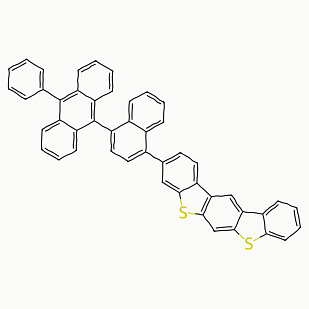 c1ccc(-c2c3ccccc3c(-c3ccc(-c4ccc5c(c4)sc4cc6sc7ccccc7c6cc45)c4ccccc34)c3ccccc23)cc1